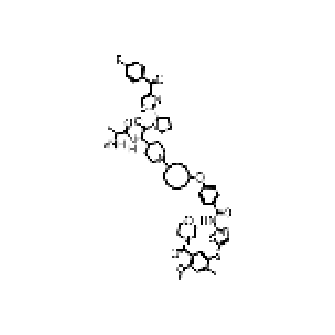 CN[C@@H](C)C(=O)N[C@H](C(=O)N1CCC[C@H]1c1nc(C(=O)c2ccc(F)cc2)cs1)C1CCN(C2CCCCC(Oc3ccc(C(=O)Nc4ncc(Sc5cc(C(=O)N6CCOCC6)c(OC)cc5C)s4)cc3)CC2)CC1